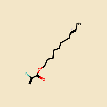 C=C(F)C(=O)OCCCCCCC/C=C/CCC